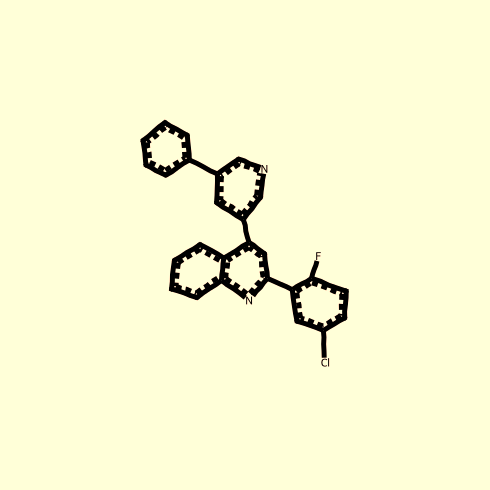 Fc1ccc(Cl)cc1-c1cc(-c2cncc(-c3ccccc3)c2)c2ccccc2n1